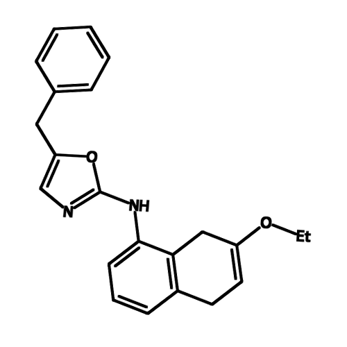 CCOC1=CCc2cccc(Nc3ncc(Cc4ccccc4)o3)c2C1